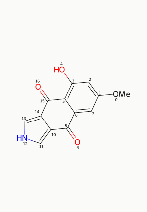 COc1cc(O)c2c(c1)C(=O)c1c[nH]cc1C2=O